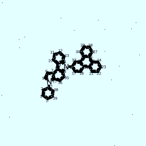 c1ccc(-n2ccc3c4c5ccccc5n(-c5ccc6c7ccccc7c7ccccc7c6c5)c4ccc32)cc1